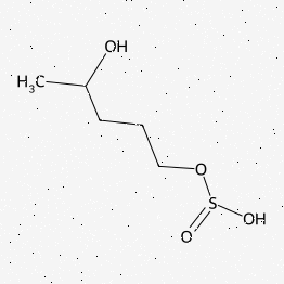 CC(O)CCCOS(=O)O